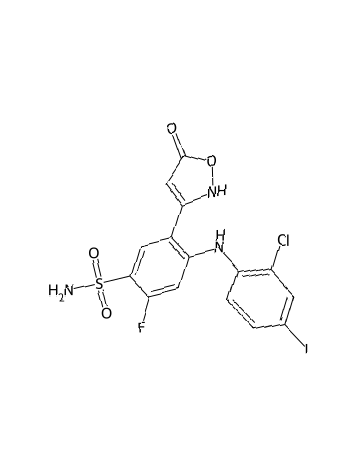 NS(=O)(=O)c1cc(-c2cc(=O)o[nH]2)c(Nc2ccc(I)cc2Cl)cc1F